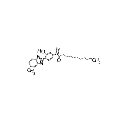 C=CCCCCCCCCC(=O)Nc1ccc(-n2nc3ccc(C)cc3n2)c(O)c1